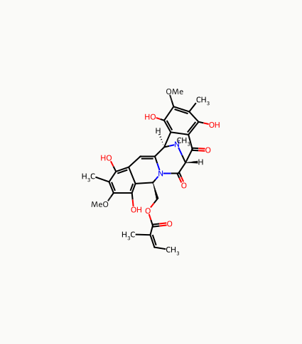 C/C=C(/C)C(=O)OC[C@H]1c2c(O)c(OC)c(C)c(O)c2C=C2[C@H]3c4c(O)c(OC)c(C)c(O)c4C(=O)[C@H](C(=O)N21)N3C